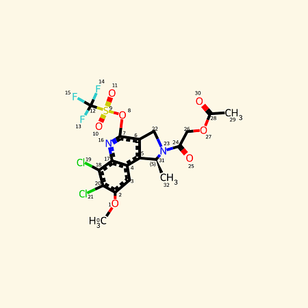 COc1cc2c3c(c(OS(=O)(=O)C(F)(F)F)nc2c(Cl)c1Cl)CN(C(=O)COC(C)=O)[C@H]3C